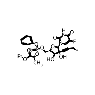 CC(C)OC(=O)[C@H](C)OP(=O)(OC[C@H]1O[C@@H](n2cc(F)c(=O)[nH]c2=O)[C@@](O)(C#CCF)C1O)Oc1ccccc1